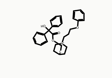 O=C(OC1CC2CC[N+]1(CCCOc1ccccc1)CC2)C(O)(c1ccccc1)c1ccccc1